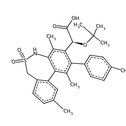 Cc1ccc(-c2c(C)c3c(c(C)c2[C@H](OC(C)(C)C)C(=O)O)NS(=O)(=O)Cc2ccc(C)cc2-3)cc1